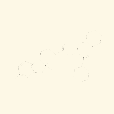 C[C@@H](CN1c2ccc(F)cc2CC1(C)C)NC(=O)OC(CC1CCCCC1)C(=O)N1CCOCC1